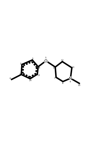 Cc1ccc(OC2CCN(C)CC2)cc1